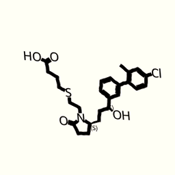 Cc1cc(Cl)ccc1-c1cccc([C@@H](O)CC[C@H]2CCC(=O)N2CCSCCCC(=O)O)c1